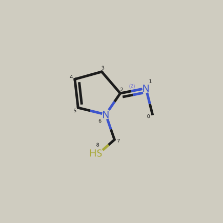 C/N=C1/CC=CN1CS